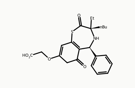 CCCC[C@@]1(CC)N[C@@H](c2ccccc2)C2=C(C=C(OCC(=O)O)CC2=O)SC1=O